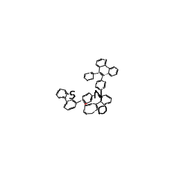 C1=CCc2oc3cccc(N(c4ccc(-c5c(-c6ccccc6)c6ccccc6c6ccccc56)cc4)c4ccc(-c5cccc6c5sc5ccccc56)cc4)c3c2C=C1